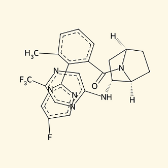 Cc1cccc(C(=O)N2[C@@H]3CC[C@H]2[C@H](Nc2cnc(C(F)(F)F)cn2)C3)c1-c1ncc(F)cn1